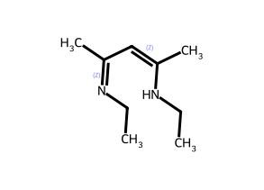 CC/N=C(C)\C=C(\C)NCC